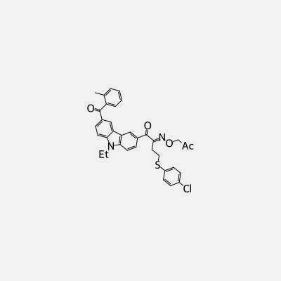 CCn1c2ccc(C(=O)/C(CCSc3ccc(Cl)cc3)=N/OCC(C)=O)cc2c2cc(C(=O)c3ccccc3C)ccc21